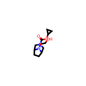 O=C(OC1CC1)N1CC2CCC(C1)N2CCO